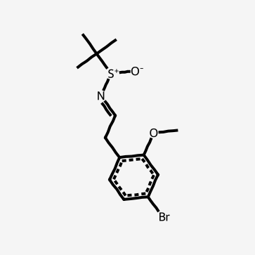 COc1cc(Br)ccc1C/C=N/[S+]([O-])C(C)(C)C